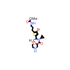 COC(=O)NCCCc1sc([C@@H](C)N(C(=O)[C@H]2CNCCO2)C2CC2)cc1Br